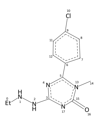 CCNNc1nc(-c2ccc(Cl)cc2)n(C)c(=O)n1